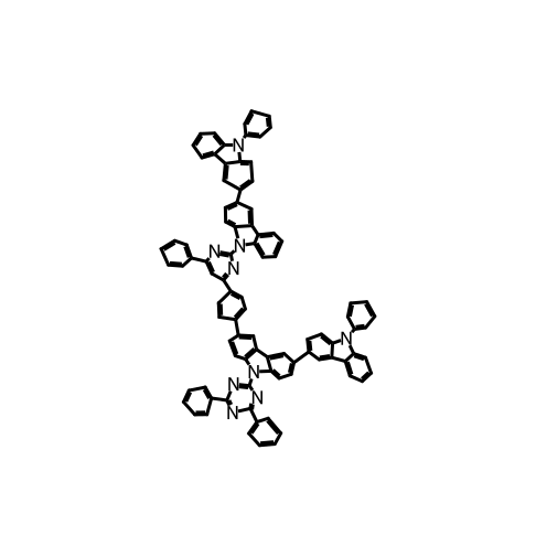 c1ccc(-c2cc(-c3ccc(-c4ccc5c(c4)c4cc(-c6ccc7c(c6)c6ccccc6n7-c6ccccc6)ccc4n5-c4nc(-c5ccccc5)nc(-c5ccccc5)n4)cc3)nc(-n3c4ccccc4c4cc(-c5ccc6c(c5)c5ccccc5n6-c5ccccc5)ccc43)n2)cc1